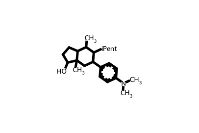 CCCC(C)C1C(c2ccc(N(C)C)cc2)CC2(C)C(O)CCC2C1C